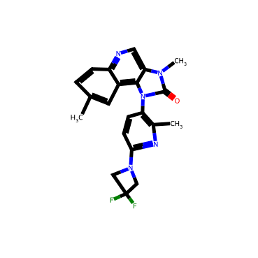 Cc1ccc2ncc3c(c2c1)n(-c1ccc(N2CC(F)(F)C2)nc1C)c(=O)n3C